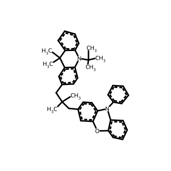 CC(C)(Cc1ccc2c(c1)Oc1ccccc1N2c1ccccc1)Cc1ccc2c(c1)C(C)(C)c1ccccc1N2C(C)(C)C